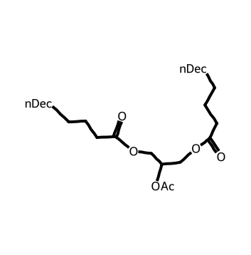 CCCCCCCCCCCCCC(=O)OCC(COC(=O)CCCCCCCCCCCCC)OC(C)=O